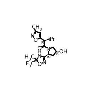 Cc1cc([C@H](C(=O)N2C[C@H](O)C[C@H]2C2=NO[C@](C)(C(F)(F)F)N2)C(C)C)on1